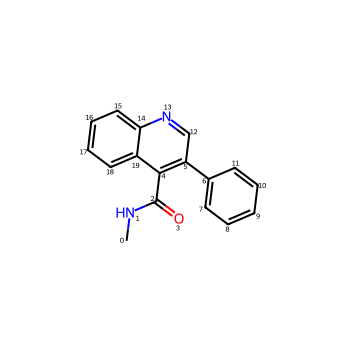 CNC(=O)c1c(-c2ccccc2)cnc2ccccc12